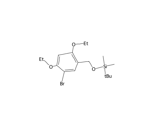 CCOc1cc(OCC)c(CO[Si](C)(C)C(C)(C)C)cc1Br